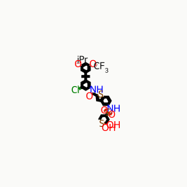 CC(C)Oc1cc(OC(F)(F)F)cc(C(C)(C)c2cc(Cl)cc(NC(=O)c3cc4cc(NS(=O)(=O)C5CCSC(O)(O)C5)ccc4s3)c2)c1